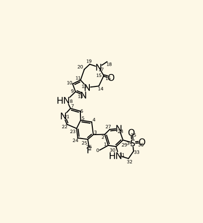 Cc1c(-c2cc3cc(Nc4cc5n(n4)CC(=O)N(C)CC5)ncc3cc2F)cnc2c1NCCS2(=O)=O